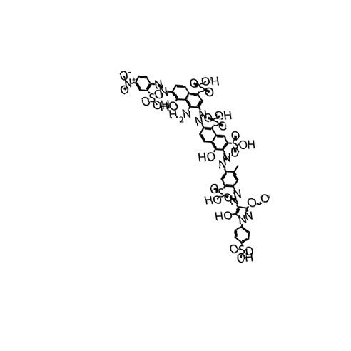 Cc1cc(N=Nc2c(OC=O)nn(-c3ccc(S(=O)(=O)O)cc3)c2O)c(S(=O)(=O)O)cc1N=Nc1c(S(=O)(=O)O)cc2c(S(=O)(=O)O)c(N=Nc3cc(S(=O)(=O)O)c4ccc(N=Nc5ccc([N+](=O)[O-])cc5S(=O)(=O)O)c(O)c4c3N)ccc2c1O